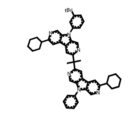 CC(C)(C)c1cccc(-n2c3cnc(C4CCCCC4)cc3c3cc(C(C)(C)c4cc5c6cc(C7CCCCC7)ncc6n(-c6ccccc6)c5cn4)ncc32)c1